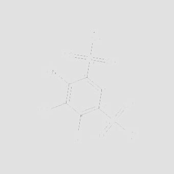 Cc1c(N)c(S(=O)(=O)O)cc(S(=O)(=O)O)c1Cl